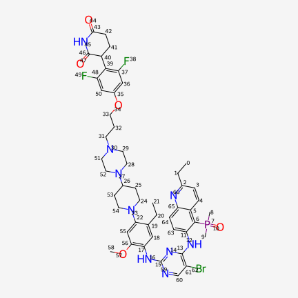 CCc1ccc2c(P(C)(C)=O)c(Nc3nc(Nc4cc(CC)c(N5CCC(N6CCN(CCCOc7cc(F)c(C8CCC(=O)NC8=O)c(F)c7)CC6)CC5)cc4OC)ncc3Br)ccc2n1